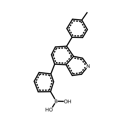 Cc1ccc(-c2ccc(-c3cccc(B(O)O)c3)c3ccncc23)cc1